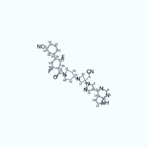 N#CCC1(n2cc(-c3ncnc4[nH]ccc34)cn2)CN(C2CCN(C(=O)c3cc(F)c(-c4cccc(C#N)c4)cc3F)CC2)C1